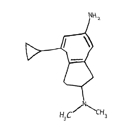 CN(C)C1Cc2cc(N)cc(C3CC3)c2C1